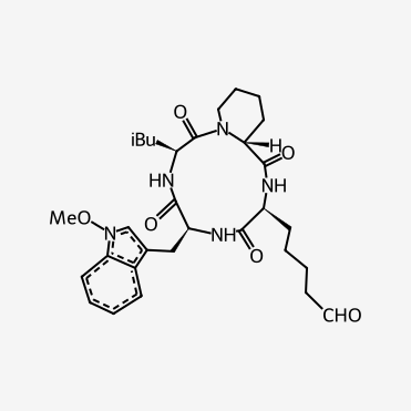 CCC(C)[C@@H]1NC(=O)[C@H](Cc2cn(OC)c3ccccc23)NC(=O)[C@H](CCCCC=O)NC(=O)[C@H]2CCCCN2C1=O